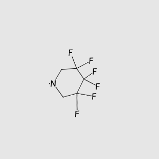 FC1(F)C[N]CC(F)(F)C1(F)F